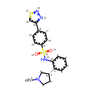 CCCN1CC[C@@H](c2ccccc2NS(=O)(=O)c2ccc(-c3csnn3)cc2)C1